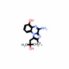 CC(C)(O)Cc1c(C(F)(F)F)nc2c(N)nc3c(O)cccc3n12